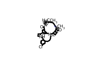 CO[C@]1(C=O)/C=C/C[C@H](C)[C@@H](C)S(=O)(=O)NC(=O)c2cc(C3CCN3)c3c(c2)N(CCCCc2cc(Cl)ccc2CO3)C[C@@H]2CC[C@H]21